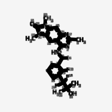 Cc1nc(NC(I)c2cccc(C(F)(F)C(C)(C)O)c2F)c2cc3c(cc2n1)n(C)c(=O)n3C